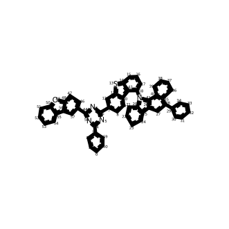 c1ccc(-c2nc(-c3ccc4c(c3)sc3cccc(-n5c6ccccc6c6cc(-c7ccccc7)c7ccccc7c65)c34)nc(-c3ccc4oc5ccccc5c4c3)n2)cc1